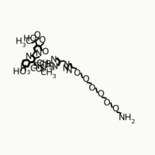 CC[C@@]1(O)C(=O)OCc2c1cc1n(c2=O)Cc2c-1nc1ccc(O)cc1c2[Si](C)(C)O[Si](C)(C)CSc1ncc(Cn2cc(COCCOCCOCCOCCOCCOCCN)nn2)cn1